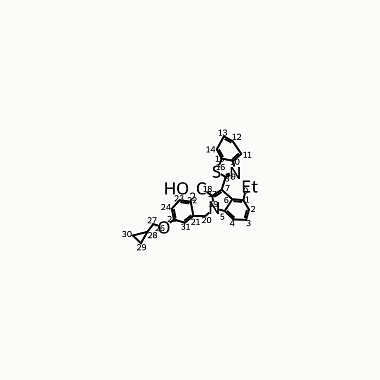 CCc1cccc2c1c(-c1nc3ccccc3s1)c(C(=O)O)n2Cc1cccc(OCC2CC2)c1